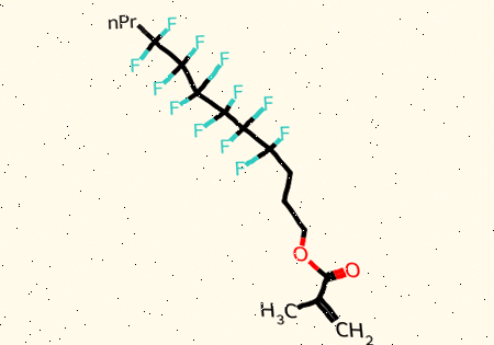 C=C(C)C(=O)OCCCC(F)(F)C(F)(F)C(F)(F)C(F)(F)C(F)(F)C(F)(F)CCC